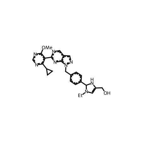 CCN1C=C(CO)NC1c1ccc(Cn2ncc3cnc(-c4c(OC)ncnc4C4CC4)nc32)cc1